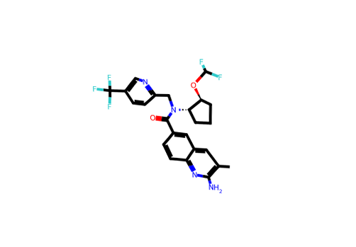 Cc1cc2cc(C(=O)N(Cc3ccc(C(F)(F)F)cn3)[C@H]3CCC[C@@H]3OC(F)F)ccc2nc1N